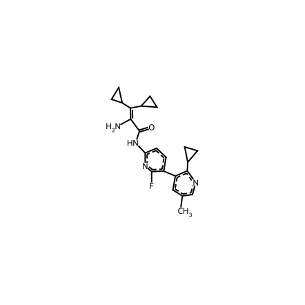 Cc1cnc(C2CC2)c(-c2ccc(NC(=O)C(N)=C(C3CC3)C3CC3)nc2F)c1